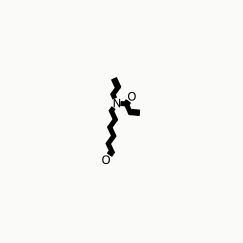 C=CCN(CCCCCC=O)C(=O)C=C